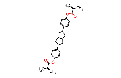 C=C(C)C(=O)Oc1ccc(C2CC3CC(C4=CCC(OC(=O)C(=C)C)C=C4)CC3C2)cc1